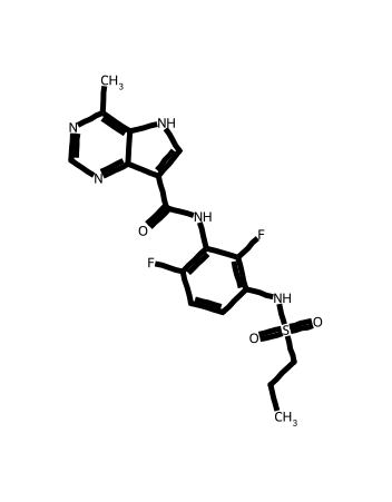 CCCS(=O)(=O)Nc1ccc(F)c(NC(=O)c2c[nH]c3c(C)ncnc23)c1F